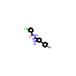 CC(=O)c1ccc(-c2ccc3c(NC(=O)c4cccc(Cl)c4)n[nH]c3c2)cc1